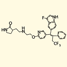 O=C1NCCC1CCNCCOc1ccc(C(=C(CC(F)(F)F)c2ccccc2)c2ccc3[nH]cc(F)c3c2)cn1